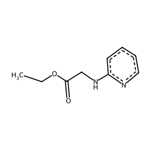 CCOC(=O)CNc1ccccn1